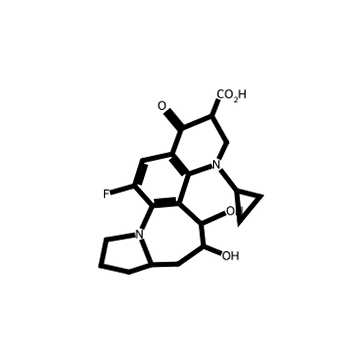 O=C(O)C1CN(C2CC2)c2c(cc(F)c3c2C(O)C(O)CC2CCCN32)C1=O